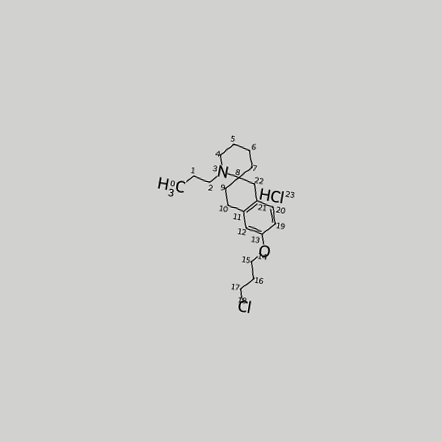 CCCN1CCCCC12CCc1cc(OCCCCl)ccc1C2.Cl